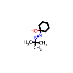 CC(C)(C)N=NC1(O)CCCCC1